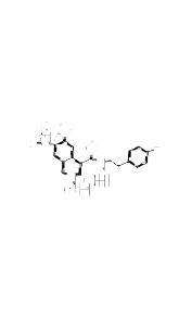 O=C(NCCc1ccc(F)cc1)c1c2cc(=O)c([N+](=O)[O-])cc-2cn(O)c1O